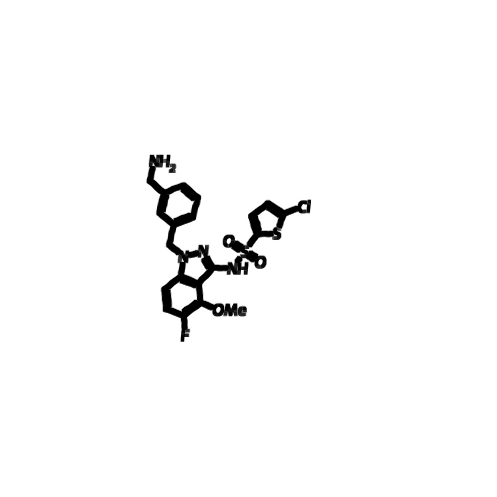 COc1c(F)ccc2c1c(NS(=O)(=O)c1ccc(Cl)s1)nn2Cc1cccc(CN)c1